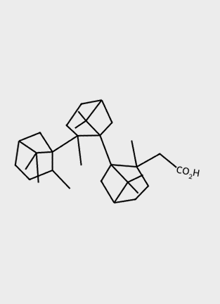 CC1CCC2CC1(C1(C)CCC3CC1(C14CC(CCC1(C)CC(=O)O)C4(C)C)C3(C)C)C2(C)C